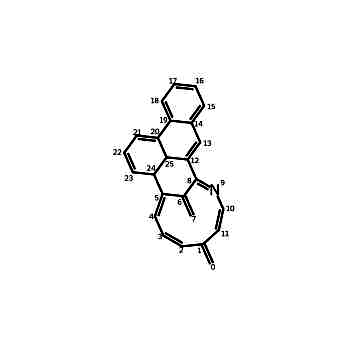 C=c1cccc2c(=C)c(ncc1)C1=Cc3ccccc3C3=CC=CC2C31